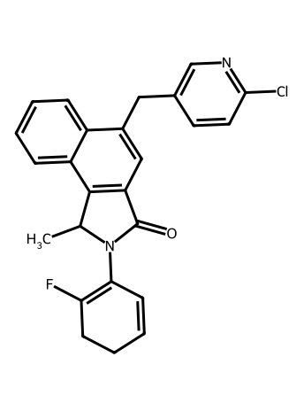 CC1c2c(cc(Cc3ccc(Cl)nc3)c3ccccc23)C(=O)N1C1=C(F)CCC=C1